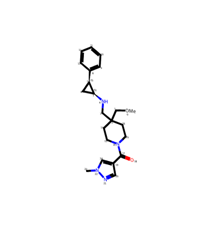 COCC1(CN[C@H]2C[C@H]2c2ccccc2)CCN(C(=O)c2cnn(C)c2)CC1